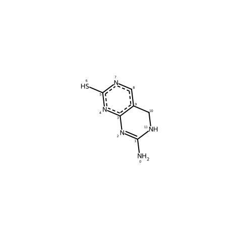 NC1=Nc2nc(S)ncc2CN1